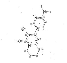 CN(C)c1ccc(-c2nc3n(c(=O)c2C#N)CCCS3)cn1